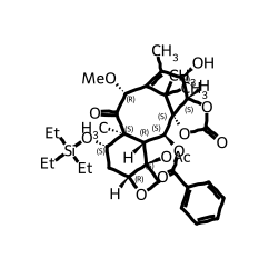 CC[Si](CC)(CC)O[C@H]1C[C@H]2OC[C@@]2(OC(C)=O)[C@H]2[C@H](OC(=O)c3ccccc3)[C@]34OC(=O)O[C@H]3[C@H](O)C(C)=C([C@@H](OC)C(=O)[C@]12C)C4(C)C